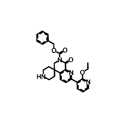 CCOc1ncccc1-c1ccc2c(n1)C(=O)N(C(=O)OCc1ccccc1)CC21CCNCC1